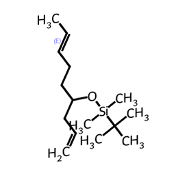 C=CCC(CC/C=C/C)O[Si](C)(C)C(C)(C)C